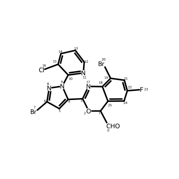 O=CC1OC(c2cc(Br)nn2-c2ncccc2Cl)=Nc2c(Br)cc(F)cc21